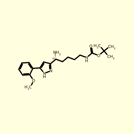 COc1ccccc1-c1cc([C@H](N)CCCCNC(=O)OC(C)(C)C)n[nH]1